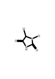 O=C1NC(=O)N(Cl)C1Cl